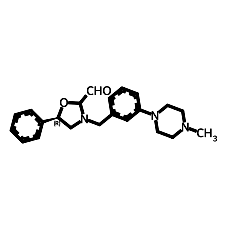 CN1CCN(c2cccc(CN3C[C@@H](c4ccccc4)OC3C=O)c2)CC1